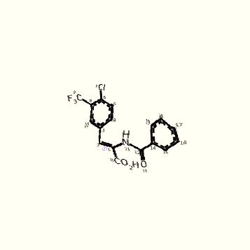 O=C(O)/C(=C/c1ccc(Cl)c(C(F)(F)F)c1)NC(=O)c1ccccc1